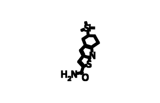 C[Si](C)(C)C1CCc2nc3sc(C(N)=O)cc3cc2C1